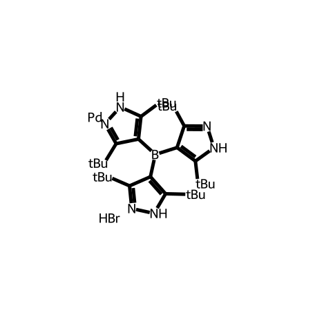 Br.CC(C)(C)c1n[nH]c(C(C)(C)C)c1B(c1c(C(C)(C)C)n[nH]c1C(C)(C)C)c1c(C(C)(C)C)n[nH]c1C(C)(C)C.[Pd]